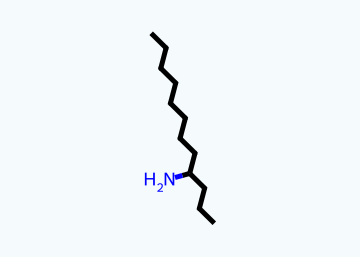 CCCCCCCCC(N)CCC